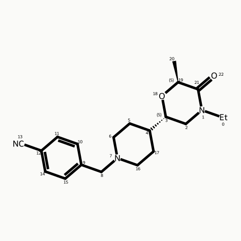 CCN1C[C@H](C2CCN(Cc3ccc(C#N)cc3)CC2)O[C@@H](C)C1=O